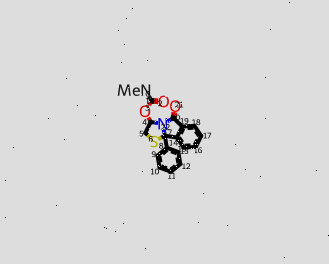 CNC(=O)OC1CSC2(c3ccccc3)c3ccccc3C(=O)N12